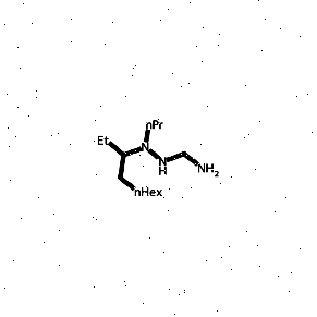 C[CH]CCCCCC(CC)N(CCC)NCN